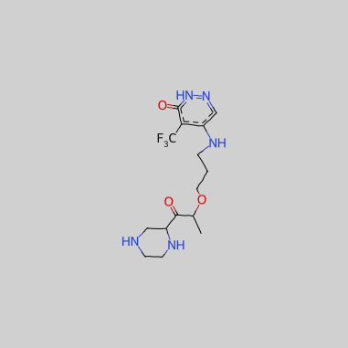 CC(OCCCNc1cn[nH]c(=O)c1C(F)(F)F)C(=O)C1CNCCN1